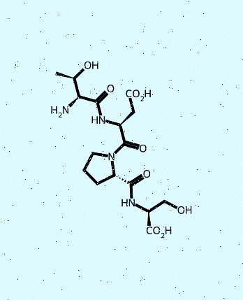 C[C@@H](O)[C@H](N)C(=O)N[C@@H](CC(=O)O)C(=O)N1CCC[C@H]1C(=O)N[C@@H](CO)C(=O)O